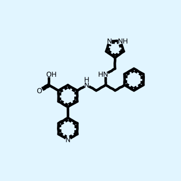 O=C(O)c1cc(NCC(Cc2ccccc2)NCc2cn[nH]c2)cc(-c2ccncc2)c1